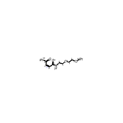 CC(C)OCCOCCNC(=O)/C=C\C(=O)C(C)C